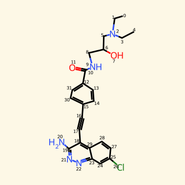 CCN(CC)CC(O)CNC(=O)c1ccc(C#Cc2c(N)nnc3cc(Cl)ccc23)cc1